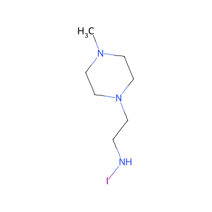 CN1CCN(CCNI)CC1